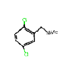 CNCc1cc(Cl)ccc1Cl